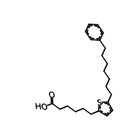 O=C(O)CCCCCc1ccc(CCCCCCCc2ccccc2)s1